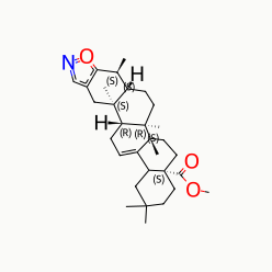 COC(=O)[C@]12CCC(C)(C)CC1C1=CC[C@@H]3[C@@]4(C)Cc5cnoc5[C@@H](C)[C@@H]4CC[C@@]3(C)[C@]1(C)CC2